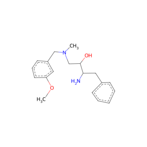 COc1cccc(CN(C)CC(O)C(N)Cc2ccccc2)c1